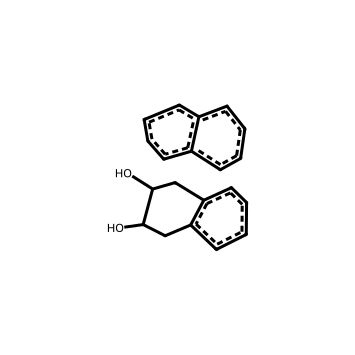 OC1Cc2ccccc2CC1O.c1ccc2ccccc2c1